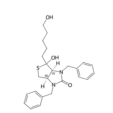 O=C1N(Cc2ccccc2)[C@H]2[C@H](CSC2(O)CCCCCO)N1Cc1ccccc1